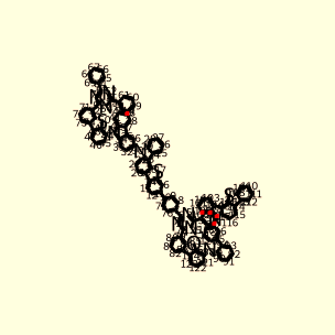 c1ccc(-c2nc(-c3ccc(-c4ccc5c(c4)sc4c5ccc5c4c4ccccc4n5-c4ccc5c(c4)c4ccccc4n5-c4cccc5c4sc4c(-c6nc(-c7ccccc7)nc(-c7ccccc7)n6)cccc45)cc3)nc(-c3cccc4c3oc3c(-n5c6ccccc6c6cc(-n7c8ccccc8c8c9sc%10ccccc%10c9ccc87)ccc65)cccc34)n2)cc1